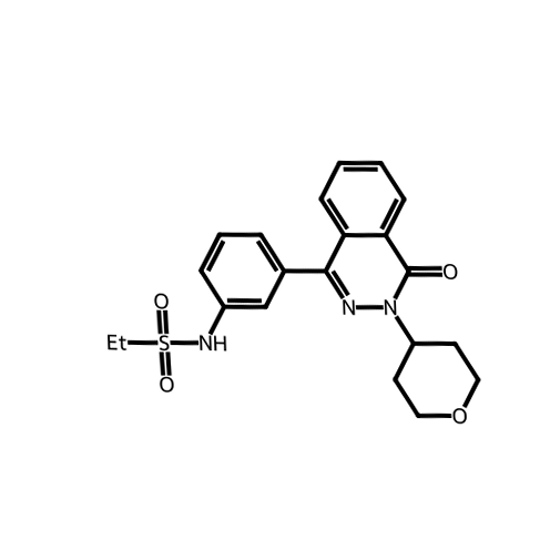 CCS(=O)(=O)Nc1cccc(-c2nn(C3CCOCC3)c(=O)c3ccccc23)c1